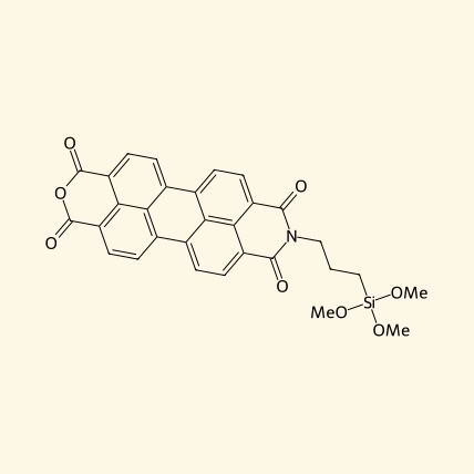 CO[Si](CCCN1C(=O)c2ccc3c4ccc5c6c(ccc(c7ccc(c2c37)C1=O)c64)C(=O)OC5=O)(OC)OC